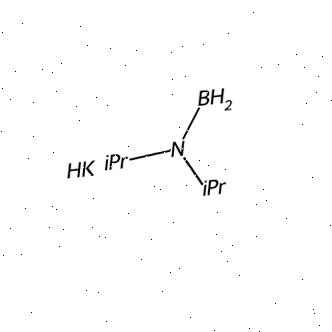 BN(C(C)C)C(C)C.[KH]